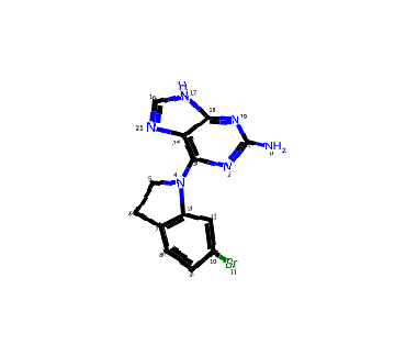 Nc1nc(N2CCc3ccc(Br)cc32)c2nc[nH]c2n1